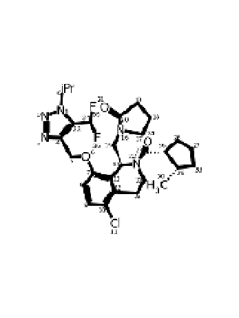 CC(C)n1nnc(COc2ccc(Cl)c3c2[C@@H](CN2CCCC2=O)N(C(=O)[C@@H]2CCC[C@@H]2C)CC3)c1C(F)F